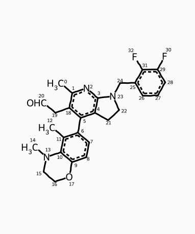 Cc1nc2c(c(-c3ccc4c(c3C)N(C)CCO4)c1CC=O)CCN2Cc1cccc(F)c1F